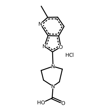 Cc1ccc2oc(N3CCN(C(=O)O)CC3)nc2n1.Cl